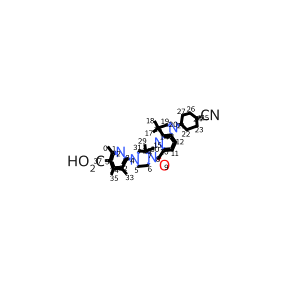 Cc1nc(N2CCN(C(=O)c3ccc4c(n3)C(C)(C)CN4C3CCC(C#N)CC3)C(C)(C)C2)c(C)c(C)c1C(=O)O